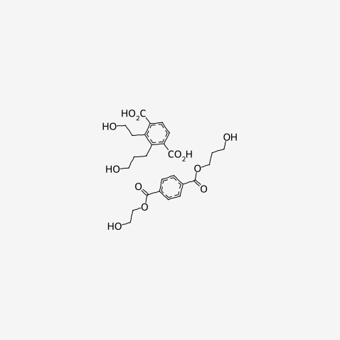 O=C(O)c1ccc(C(=O)O)c(CCCO)c1CCO.O=C(OCCO)c1ccc(C(=O)OCCCO)cc1